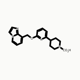 O=C(O)N1CCC(c2cccc(OCc3cccn4ccnc34)n2)CC1